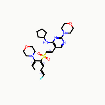 C\C=C(/C(=C\C=C\F)S(=O)(=O)/C=C/c1cnc(N2CCOCC2)nc1NC1CCCC1)N1CCOCC1